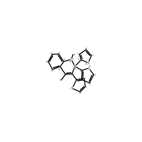 CC1=C(c2cccs2)[B-](c2cccs2)(c2cccs2)[O+](C)c2ccccc21